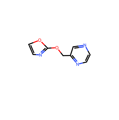 c1cnc(COc2ncco2)cn1